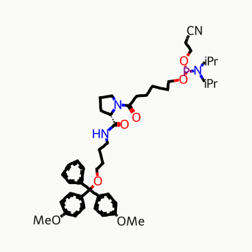 COc1ccc(C(OCCCCNC(=O)[C@@H]2CCCN2C(=O)CCCCCOP(OCCC#N)N(C(C)C)C(C)C)(c2ccccc2)c2ccc(OC)cc2)cc1